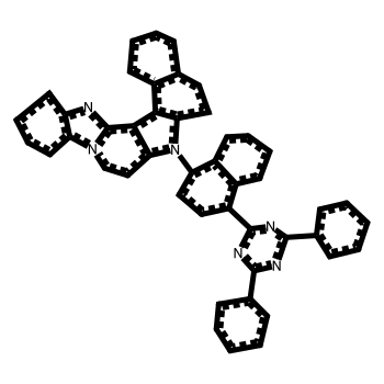 c1ccc(-c2nc(-c3ccccc3)nc(-c3ccc(-n4c5ccc6ccccc6c5c5c4ccn4c6ccccc6nc54)c4ccccc34)n2)cc1